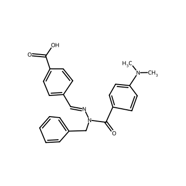 CN(C)c1ccc(C(=O)N(Cc2ccccc2)N=Cc2ccc(C(=O)O)cc2)cc1